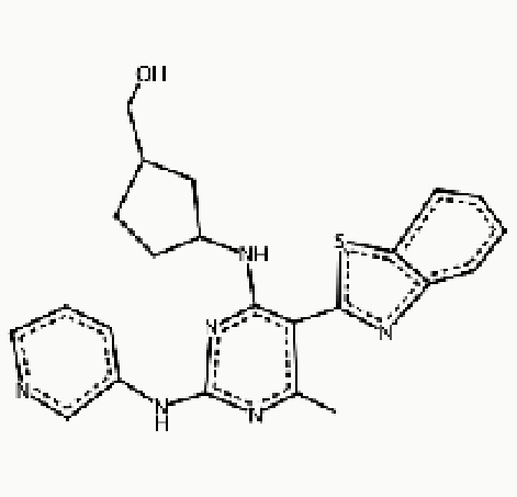 Cc1nc(Nc2cccnc2)nc(NC2CCC(CO)C2)c1-c1nc2ccccc2s1